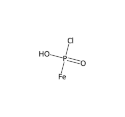 O=[P](O)(Cl)[Fe]